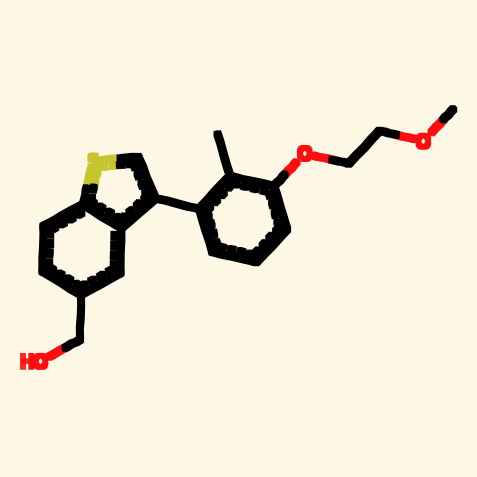 COCCOc1cccc(-c2csc3ccc(CO)cc23)c1C